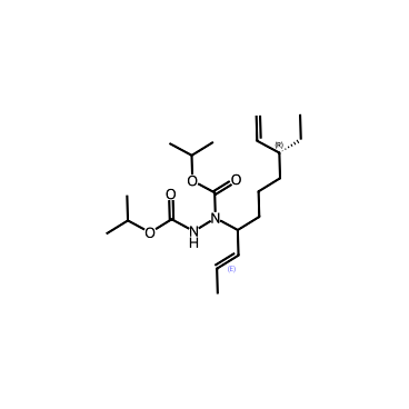 C=C[C@H](CC)CCCC(/C=C/C)N(NC(=O)OC(C)C)C(=O)OC(C)C